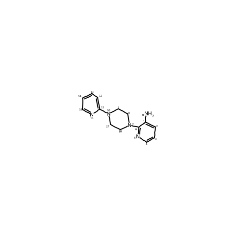 Nc1cccnc1N1CCN(c2ccccn2)CC1